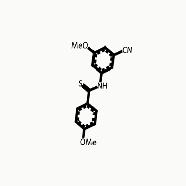 COc1ccc(C(=S)Nc2cc(C#N)cc(OC)c2)cc1